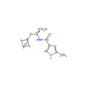 Cc1cc(C(=O)N[C@@H](CC23CC(C2)C3)C(=O)O)no1